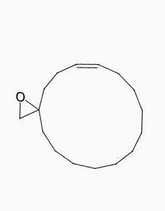 C1=CCCC2(CCCCCCCCCC1)CO2